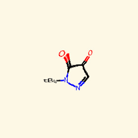 CC(C)(C)N1N=CC(=O)C1=O